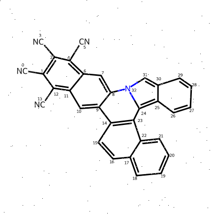 N#Cc1c(C#N)c(C#N)c2cc3c(cc2c1C#N)c1ccc2ccccc2c1c1c2ccccc2cn31